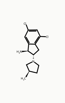 C[C@@H]1CCN([C@H]2Cc3c(Cl)cc(Cl)cc3[C@@H]2N)C1